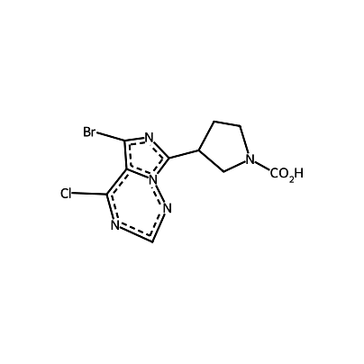 O=C(O)N1CCC(c2nc(Br)c3c(Cl)ncnn23)C1